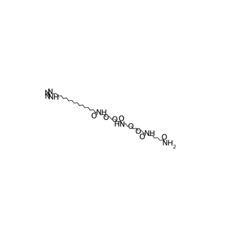 NC(=O)CCCCCNC(=O)COCCOCCNC(=O)COCCOCCNC(=O)CCCCCCCCCCCCCCCc1nnn[nH]1